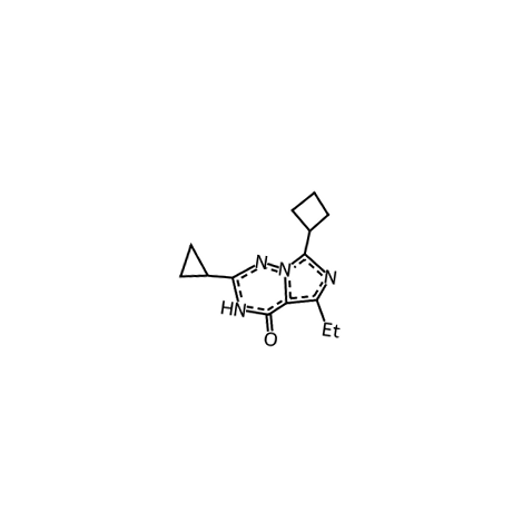 CCc1nc(C2CCC2)n2nc(C3CC3)[nH]c(=O)c12